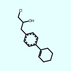 OC(CCl)Cc1ccc(C2=CCCCC2)cc1